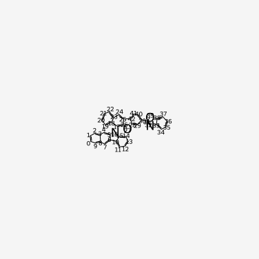 c1ccc2cc3c(cc2c1)c1ccccc1n3-c1c2ccccc2cc2c1oc1cc(-c3nc4ccccc4o3)ccc12